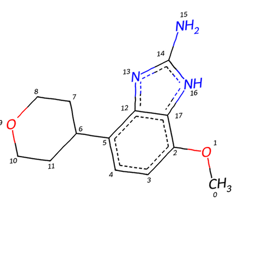 COc1ccc(C2CCOCC2)c2nc(N)[nH]c12